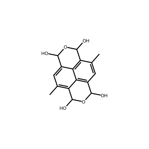 Cc1cc2c3c(c(C)cc4c3c1C(O)OC4O)C(O)OC2O